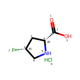 Cl.O=C(O)[C@H]1C[C@@H](F)CN1